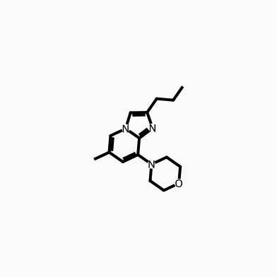 CCCc1cn2cc(C)cc(N3CCOCC3)c2n1